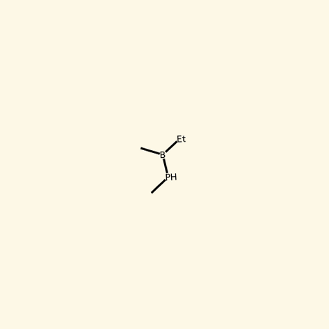 CCB(C)PC